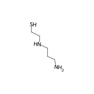 NCCCNCCS